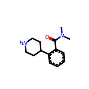 CN(C)C(=O)c1ccccc1C1CCNCC1